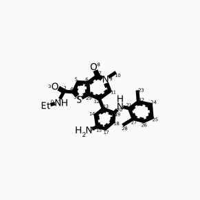 CCNC(=O)c1cc2c(=O)n(C)cc(-c3cc(N)ccc3Nc3c(C)cccc3C)c2s1